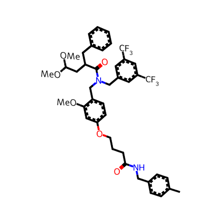 COc1cc(OCCCC(=O)NCc2ccc(C)cc2)ccc1CN(Cc1cc(C(F)(F)F)cc(C(F)(F)F)c1)C(=O)C(Cc1ccccc1)CC(OC)OC